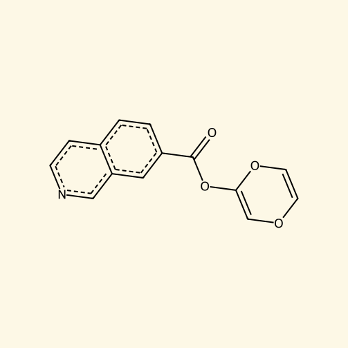 O=C(OC1=COC=CO1)c1ccc2ccncc2c1